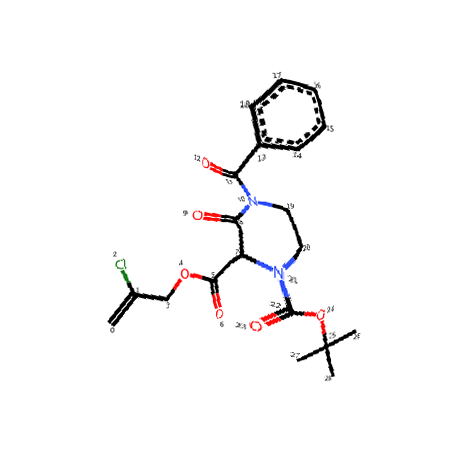 C=C(Cl)COC(=O)C1C(=O)N(C(=O)c2ccccc2)CCN1C(=O)OC(C)(C)C